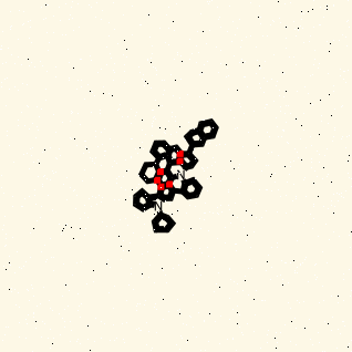 c1ccc(-n2c3ccccc3c3ccc(-c4ccccc4N(c4ccc(-c5ccc6ccccc6c5)cc4)c4ccccc4-c4cccc5cccc(C6CCCCC6)c45)cc32)cc1